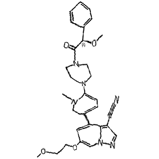 COCCOc1cc(C2=CC=C(N3CCN(C(=O)[C@H](OC)c4ccccc4)CC3)N(C)C2)c2c(C#N)cnn2c1